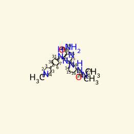 CN1CCC(c2ccc(Nc3nc(N4CCCC(NC(=O)N(C)C)C4)cnc3C(N)=O)cc2)CC1